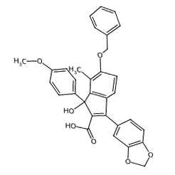 COc1ccc(C2(O)C(C(=O)O)=C(c3ccc4c(c3)OCO4)c3ccc(OCc4ccccc4)c(C)c32)cc1